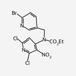 CCOC(=O)N(Cc1ccc(Br)nc1)c1cc(Cl)nc(Cl)c1[N+](=O)[O-]